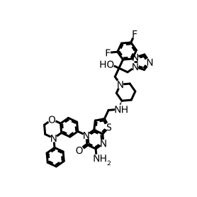 Nc1nc2sc(CN[C@H]3CCCN(CC(O)(Cn4cncn4)c4ccc(F)cc4F)C3)cc2n(-c2ccc3c(c2)N(c2ccccc2)CCO3)c1=O